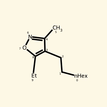 CCCCCCCCc1c(C)noc1CC